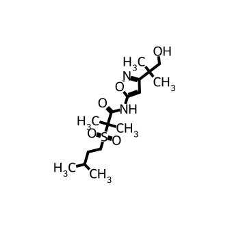 CC(C)CCS(=O)(=O)C(C)(C)C(=O)Nc1cc(C(C)(C)CO)no1